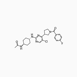 CC(=O)N[C@H]1CC[C@H](Nc2ncc(Cl)c(C3CCN(C(=O)c4ccc(F)cc4)C3)n2)CC1